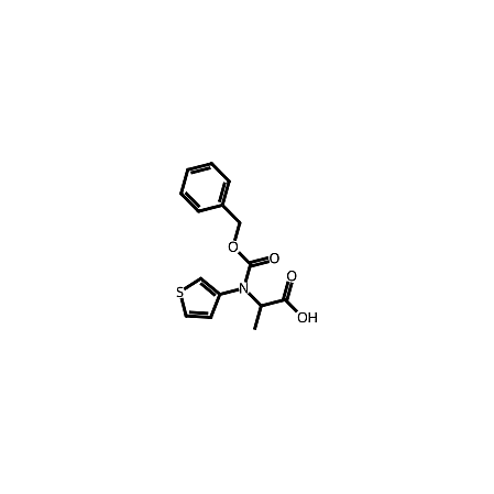 CC(C(=O)O)N(C(=O)OCc1ccccc1)c1ccsc1